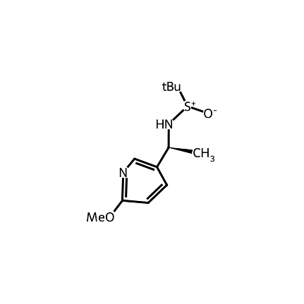 [CH2]C(C)(C)[S+]([O-])N[C@@H](C)c1ccc(OC)nc1